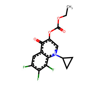 CCOC(=O)Oc1cn(C2CC2)c2c(F)c(F)c(F)cc2c1=O